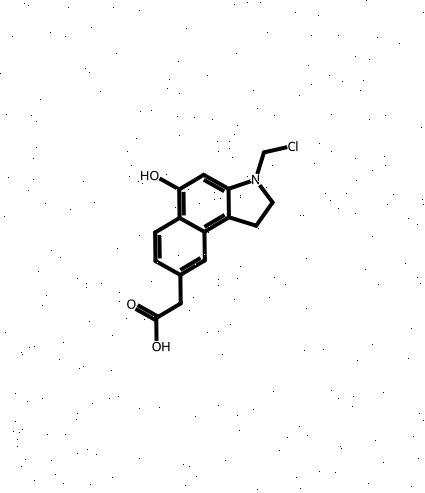 O=C(O)Cc1ccc2c(O)cc3c(c2c1)CCN3CCl